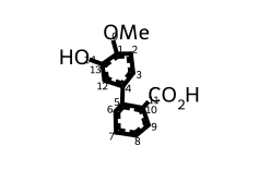 COc1ccc(-c2ccccc2C(=O)O)cc1O